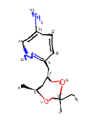 C[C@@H]1OC(C)(C)O[C@@H]1c1ccc(N)cn1